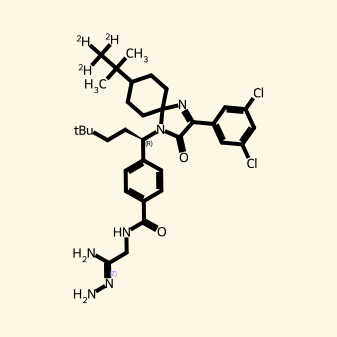 [2H]C([2H])([2H])C(C)(C)C1CCC2(CC1)N=C(c1cc(Cl)cc(Cl)c1)C(=O)N2[C@H](CCC(C)(C)C)c1ccc(C(=O)NC/C(N)=N/N)cc1